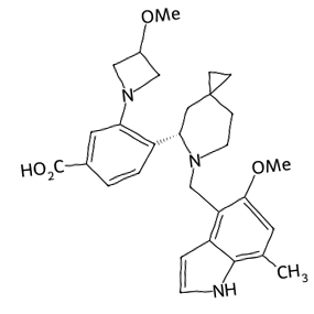 COc1cc(C)c2[nH]ccc2c1CN1CCC2(CC2)C[C@H]1c1ccc(C(=O)O)cc1N1CC(OC)C1